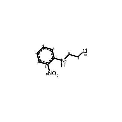 O=[N+]([O-])c1ccccc1NCCCl